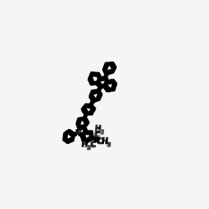 CC(C)(C)c1ccc2c(c1)c1cc(-c3ccc(-c4ccc(-c5c6ccccc6c(-c6ccccc6)c6ccccc56)cc4)cc3)ccc1n2-c1ccccc1